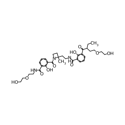 CCC(CCOCCO)C(=O)c1cccc(C(=O)NCCC2(C)CCN2C(=O)c2cccc(C(=O)NCCOCCO)c2O)c1O